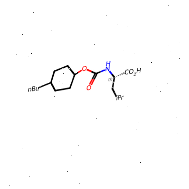 CCCCC1CCC(OC(=O)N[C@@H](CC(C)C)C(=O)O)CC1